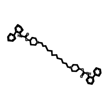 O=C(Nc1ccccc1-c1ccccc1)OC1CCN(CCCCCCCCCCCCN2CCC(OC(=O)Nc3ccccc3-c3ccccc3)CC2)CC1